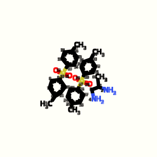 CC(N)CN.Cc1ccc(S(=O)(=O)c2ccc(C)cc2)cc1.Cc1ccc(S(=O)(=O)c2ccc(C)cc2)cc1